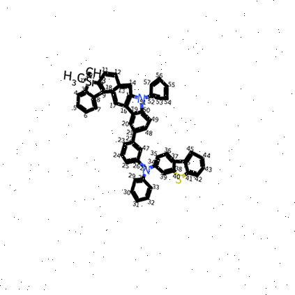 C[Si]1(C)c2ccccc2-c2c1ccc1cc3c(cc21)c1cc(-c2cccc(N(c4ccccc4)c4ccc5c(c4)sc4ccccc45)c2)ccc1n3-c1ccccc1